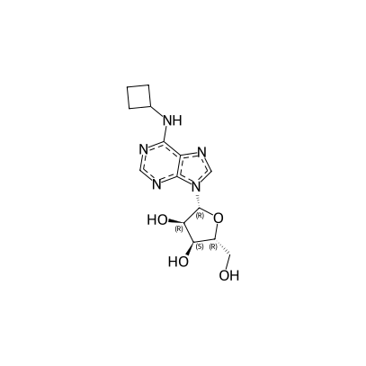 OC[C@H]1O[C@@H](n2cnc3c(NC4CCC4)ncnc32)[C@H](O)[C@@H]1O